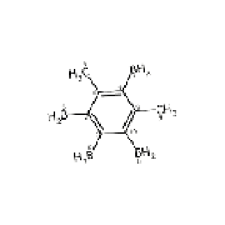 Bc1c(B)c(C)c(B)c(C)c1B